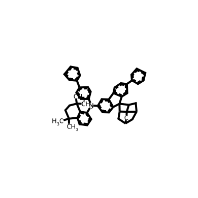 CC1(C)CCC(C)(C)c2c(N(c3ccc(-c4ccccc4)cc3)c3ccc4c(c3)-c3ccc(-c5ccccc5)cc3C43C4CC5CC6CC3C64C5)cccc21